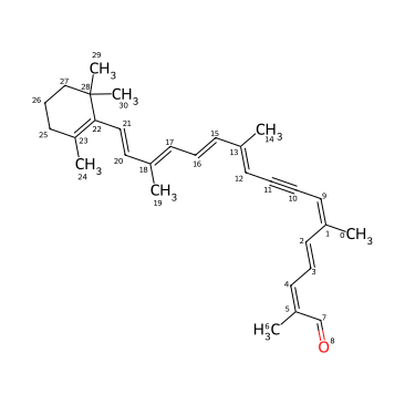 CC(C=CC=C(C)C=O)=CC#CC=C(C)C=CC=C(C)C=CC1=C(C)CCCC1(C)C